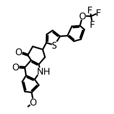 COc1ccc2c(=O)c3c([nH]c2c1)CC(c1ccc(-c2cccc(OC(F)(F)F)c2)s1)CC3=O